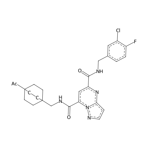 CC(=O)C12CCC(CNC(=O)c3cc(C(=O)NCc4ccc(F)c(Cl)c4)nc4ccnn34)(CC1)CC2